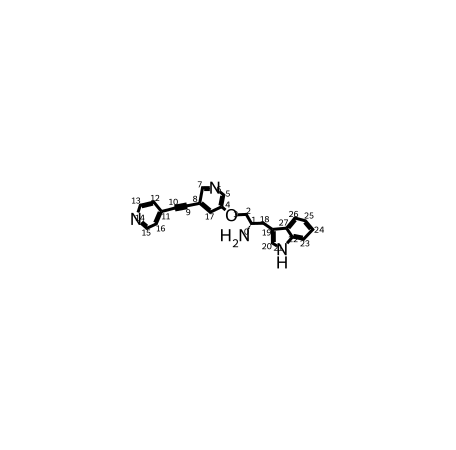 N[C@H](COc1cncc(C#Cc2ccncc2)c1)Cc1c[nH]c2ccccc12